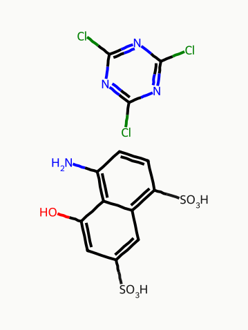 Clc1nc(Cl)nc(Cl)n1.Nc1ccc(S(=O)(=O)O)c2cc(S(=O)(=O)O)cc(O)c12